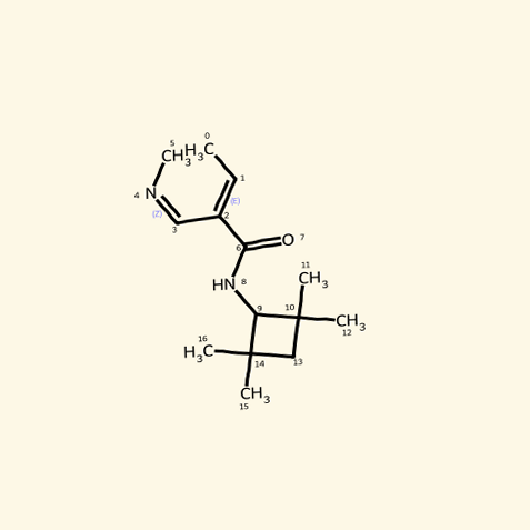 C/C=C(\C=N/C)C(=O)NC1C(C)(C)CC1(C)C